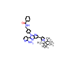 CC(C)[Si](C(C)C)(C(C)C)n1ccc(-c2cnc3c(c2)nc(-c2cccnc2N)n3-c2ccc(CNC(=O)c3ccccc3)cc2)c1